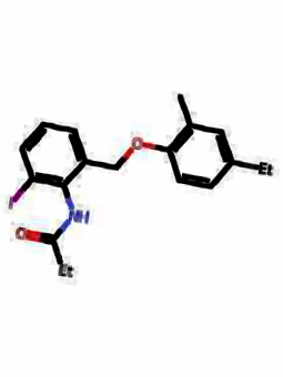 CCC(=O)Nc1c(I)cccc1COc1ccc(CC)cc1C